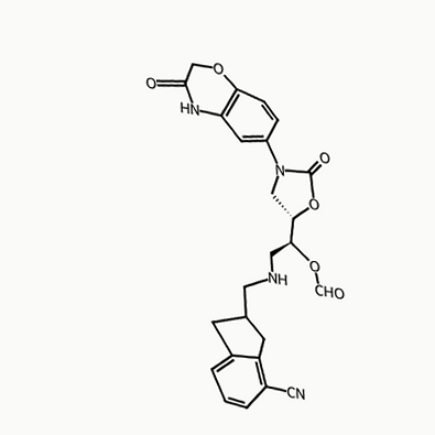 N#Cc1cccc2c1CC(CNC[C@H](OC=O)[C@@H]1CN(c3ccc4c(c3)NC(=O)CO4)C(=O)O1)C2